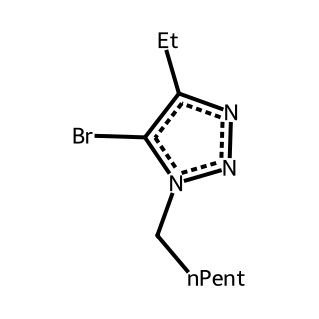 CCCCCCn1nnc(CC)c1Br